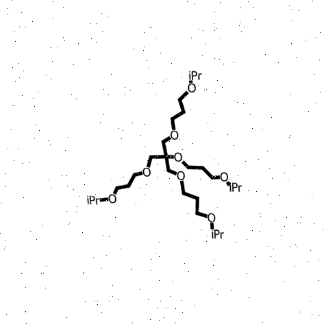 CC(C)OCCCOCC(COCCCOC(C)C)(COCCCOC(C)C)OCCCOC(C)C